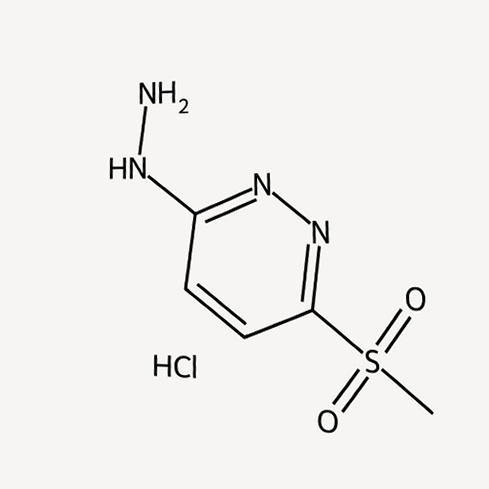 CS(=O)(=O)c1ccc(NN)nn1.Cl